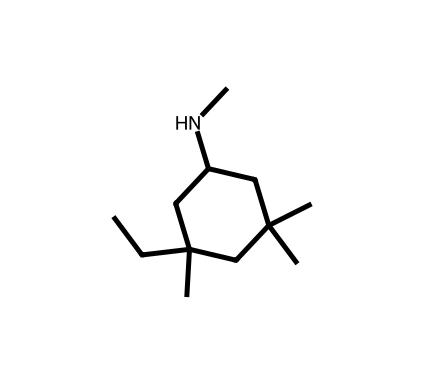 CCC1(C)CC(NC)CC(C)(C)C1